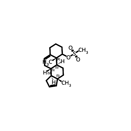 C[C@@]12C=CC[C@H]1[C@@H]1CC=C3CCCC(OS(C)(=O)=O)[C@]3(C)[C@H]1CC2